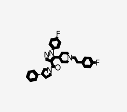 O=C(c1cnn(-c2ccc(F)cc2)c1C1CCN(CCc2ccc(F)cc2)CC1)N1CC[C@H](c2ccccc2)C1